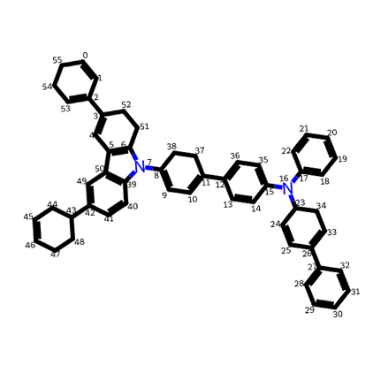 C1=CC(C2=Cc3c(n(C4=CC=C(c5ccc(N(c6ccccc6)C6C=CC(c7ccccc7)=CC6)cc5)CC4)c4ccc(C5CC=CCC5)cc34)CC2)=CCC1